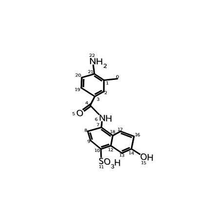 Cc1cc(C(=O)Nc2ccc(S(=O)(=O)O)c3cc(O)ccc23)ccc1N